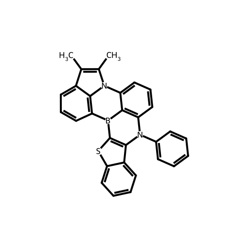 Cc1c(C)n2c3c(cccc13)B1c3sc4ccccc4c3N(c3ccccc3)c3cccc-2c31